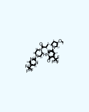 CO[C@@H]1C[C@@H](CCC(=O)N2CCN(c3ncc(C(F)(F)F)cn3)CC2)N(c2cc(C(F)(F)F)c(=O)[nH]n2)C1